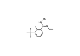 C=C/N=C(/N[C@@H](C)CC)c1cccc(C(C)(F)F)c1C